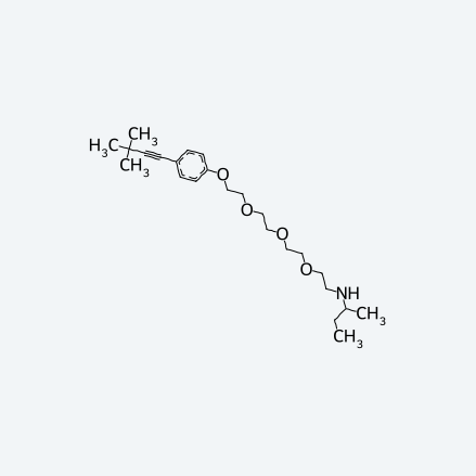 CCC(C)NCCOCCOCCOCCOc1ccc(C#CC(C)(C)C)cc1